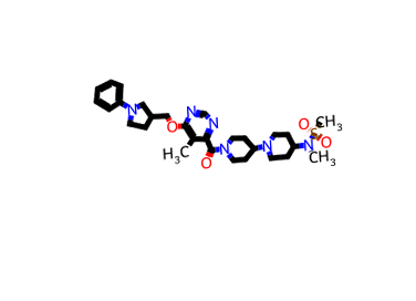 Cc1c(OCC2CCN(c3ccccc3)C2)ncnc1C(=O)N1CCC(N2CCC(N(C)S(C)(=O)=O)CC2)CC1